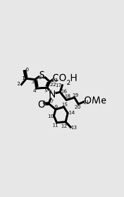 C=C(C)c1cc(N(C(=O)C2CCC(C)CC2)C(C)CCCOC)c(C(=O)O)s1